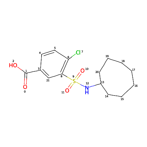 O=C(O)c1ccc(Cl)c(S(=O)(=O)NC2CCCCCCC2)c1